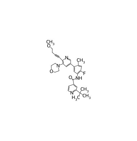 COCCC#Cc1ncc(-c2cc(NC(=O)c3ccnc(C(C)(C)C)c3)c(F)cc2C)cc1N1CCOCC1